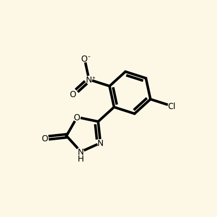 O=c1[nH]nc(-c2cc(Cl)ccc2[N+](=O)[O-])o1